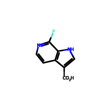 O=C(O)c1c[nH]c2c(F)nccc12